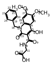 COc1cc2c(O)c(C(=O)NCC(=O)O)c(=O)n(Cc3ccccc3)c2cc1OC